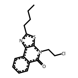 CCCCc1nc2c3ccccc3c(=O)n(CCCl)c2s1